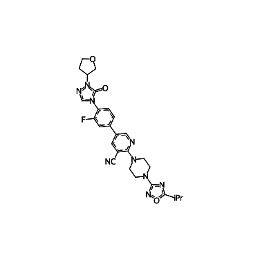 CC(C)c1nc(N2CCN(c3ncc(-c4ccc(-n5cnn(C6CCOC6)c5=O)c(F)c4)cc3C#N)CC2)no1